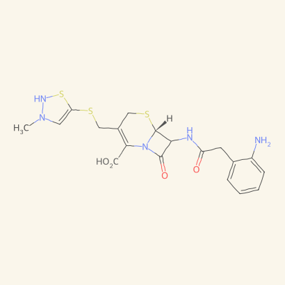 CN1C=C(SCC2=C(C(=O)O)N3C(=O)C(NC(=O)Cc4ccccc4N)[C@H]3SC2)SN1